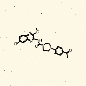 COc1nc2ccc(Cl)cc2nc1NC(=O)N1CCN(c2ccc(C(C)=O)cc2)CC1